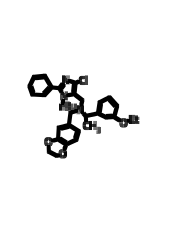 CCCCn1c(-c2ccccc2)nc(Cl)c1CN(Cc1ccc2c(c1)OCCO2)C(C)c1cccc(OCC)c1